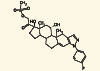 CC12Cc3cnn(-c4ccc(F)cc4)c3C=C1CCC1C2[C@@H](O)CC2(C)C1CC[C@]2(O)C(=O)COS(C)(=O)=O